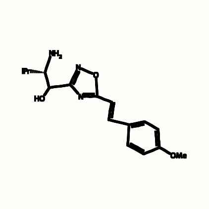 COc1ccc(C=Cc2nc(C(O)[C@@H](N)C(C)C)no2)cc1